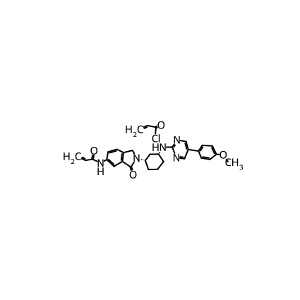 C=CC(=O)Cl.C=CC(=O)Nc1ccc2c(c1)C(=O)N([C@H]1CCC[C@@H](Nc3ncc(-c4ccc(OC)cc4)cn3)C1)C2